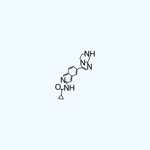 O=C(Nc1cc2cc(-c3cnc4n3CCNC4)ccc2cn1)C1CC1